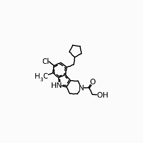 Cc1c(Cl)cc(CC2CCCC2)c2c3c([nH]c12)CCN(C(=O)CO)C3